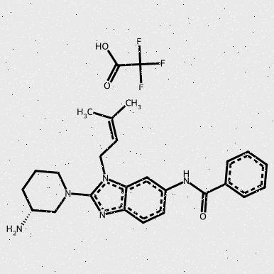 CC(C)=CCn1c(N2CCC[C@@H](N)C2)nc2ccc(NC(=O)c3ccccc3)cc21.O=C(O)C(F)(F)F